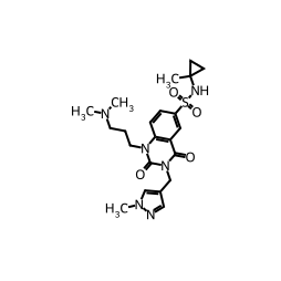 CN(C)CCCn1c(=O)n(Cc2cnn(C)c2)c(=O)c2cc(S(=O)(=O)NC3(C)CC3)ccc21